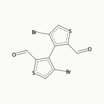 O=Cc1scc(Br)c1-c1c(Br)csc1C=O